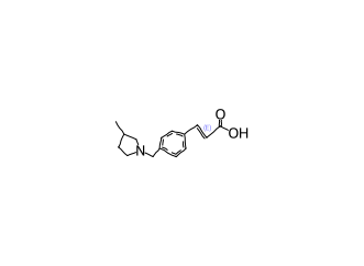 CC1CCN(Cc2ccc(/C=C/C(=O)O)cc2)C1